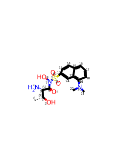 C[C@@H](O)[C@H](N)C(=O)N(O)S(=O)(=O)c1ccc2cccc(N(C)C)c2c1